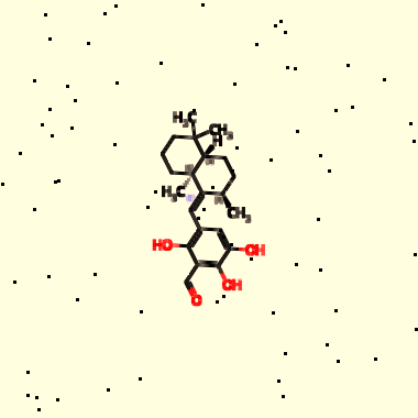 C[C@@H]1CC[C@H]2C(C)(C)CCC[C@]2(C)/C1=C/c1cc(O)c(O)c(C=O)c1O